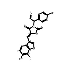 O=CC(c1ccc(Cl)cc1)N1C(=O)NC(=Cc2c[nH]c3c(F)c(Cl)ccc23)C1=O